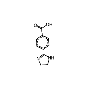 C1=NCCN1.O=C(O)c1ccccc1